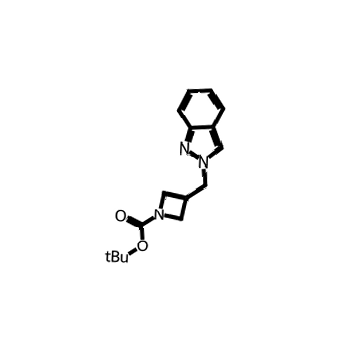 CC(C)(C)OC(=O)N1CC(Cn2cc3ccccc3n2)C1